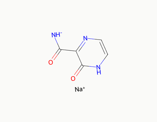 [NH-]C(=O)c1ncc[nH]c1=O.[Na+]